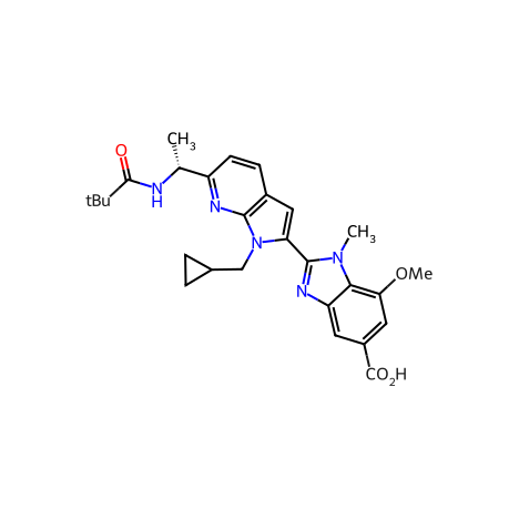 COc1cc(C(=O)O)cc2nc(-c3cc4ccc([C@@H](C)NC(=O)C(C)(C)C)nc4n3CC3CC3)n(C)c12